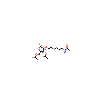 CC(=O)NCCCCCCO[C@H]1[C@H](C)OC(COC(C)C)[C@H]1OC(C)C